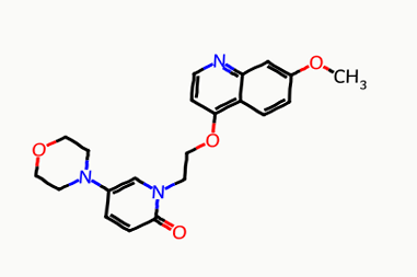 COc1ccc2c(OCCn3cc(N4CCOCC4)ccc3=O)ccnc2c1